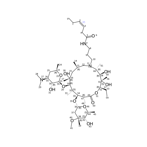 CC/C=C\CC(=O)NCCCN1C[C@H](C)C[C@@](C)(O)[C@H](O[C@@H]2O[C@H](C)C[C@H](N(C)C)[C@H]2O)[C@@H](C)[C@H](O[C@H]2C[C@@](C)(OC)[C@@H](O)[C@H](C)O2)[C@@H](C)C(=O)O[C@H](CC)[C@@](C)(O)[C@H](O)[C@H]1C